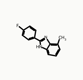 Cc1cccc2[nH]c(-c3ccc(F)cc3)nc12